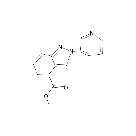 COC(=O)c1cccc2nn(-c3cccnc3)cc12